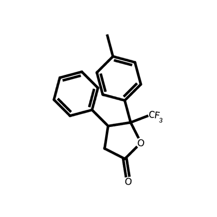 Cc1ccc(C2(C(F)(F)F)OC(=O)CC2c2ccccc2)cc1